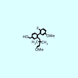 COC=CC(C)(C)Cc1cc(CO)ccc1-c1cc(OC)ccc1F